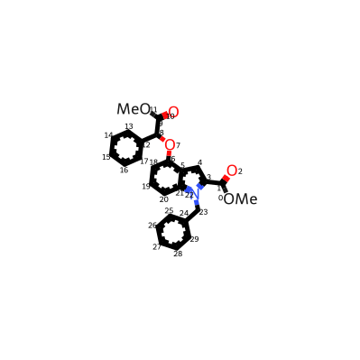 COC(=O)c1cc2c(OC(C(=O)OC)c3ccccc3)cccc2n1Cc1ccccc1